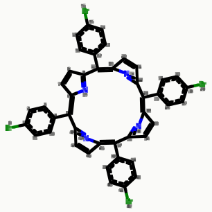 Brc1ccc(C2=C3C=CC(=N3)C(c3ccc(Br)cc3)=C3C=CC(=N3)C(c3ccc(Br)cc3)=C3C=CC(=N3)C(c3ccc(Br)cc3)=C3C=CC2=N3)cc1